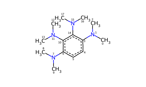 CN(C)c1ccc(N(C)C)c(N(C)C)c1N(C)C